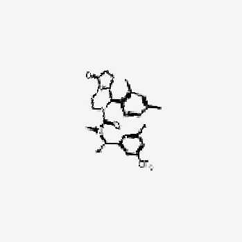 Cc1cc([C@@H](C)N(C)C(=O)N2CCN3C(=O)CCC3C2c2ccc(C)cc2C)cc(C(F)(F)F)c1